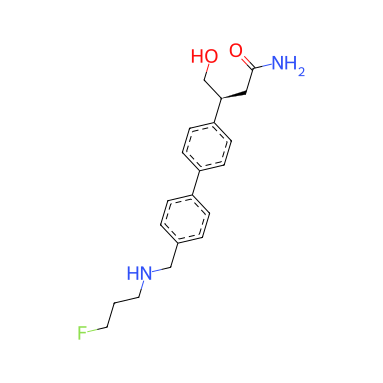 NC(=O)C[C@H](CO)c1ccc(-c2ccc(CNCCCF)cc2)cc1